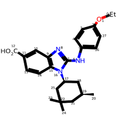 CCOc1ccc(Nc2nc3cc(C(=O)O)ccc3n2[C@H]2C[C@@H](C)CC(C)(C)C2)cc1